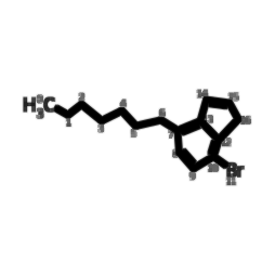 CCCCCCCc1ccc(Br)c2c1C=CC2